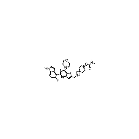 CN(C)C(=O)ON1CCC2(CC1)CN(Cc1cc3nc(-c4c(F)ccc5[nH]ccc45)nc(N4CCOCC4)c3s1)C2